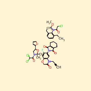 C#CCN1C(=O)COc2cc(F)c(N3C(=O)C4=C(CCCC4)C3=O)cc21.CC1(C)OC(c2ccco2)CN1C(=O)C(Cl)Cl.CCc1cccc(CC)c1N(COC)C(=O)CCl